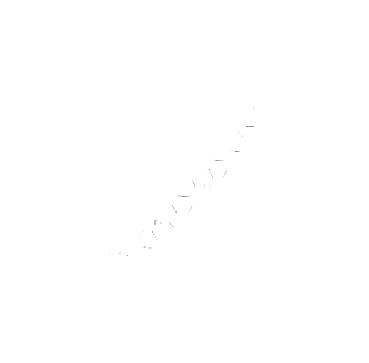 CNCc1ccc(NC(=O)c2ccc(C(=O)Nc3ccc(C4=CCN(C(=O)OC(C)(C)C)CC4)nn3)cc2)cc1